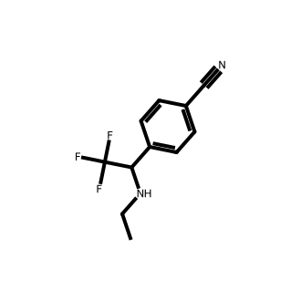 CCNC(c1ccc(C#N)cc1)C(F)(F)F